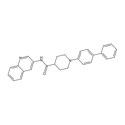 O=C(Nc1cnc2ccccc2c1)C1CCN(c2ccc(-c3ccccc3)cc2)CC1